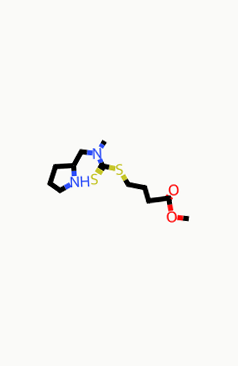 COC(=O)CCCSC(=S)N(C)CC1CCCN1